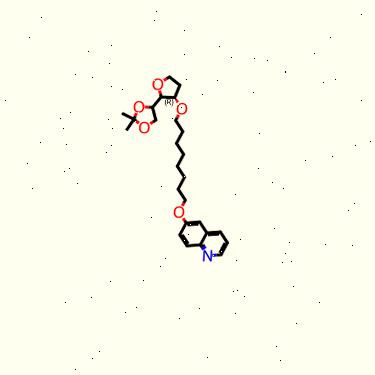 CC1(C)OCC(C2OCC[C@H]2OCCCCCCCCOc2ccc3ncccc3c2)O1